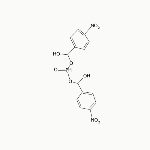 O=[N+]([O-])c1ccc(C(O)O[PH](=O)OC(O)c2ccc([N+](=O)[O-])cc2)cc1